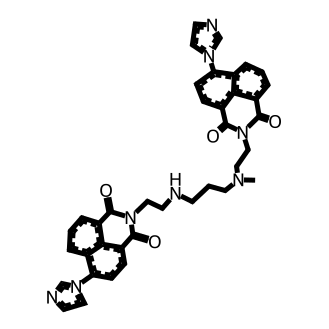 CN(CCCNCCN1C(=O)c2cccc3c(-n4ccnc4)ccc(c23)C1=O)CCN1C(=O)c2cccc3c(-n4ccnc4)ccc(c23)C1=O